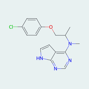 CC(COc1ccc(Cl)cc1)N(C)c1ncnc2[nH]ccc12